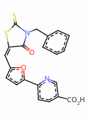 O=C(O)c1ccc(-c2ccc(C=C3SC(=S)N(Cc4ccccc4)C3=O)o2)nc1